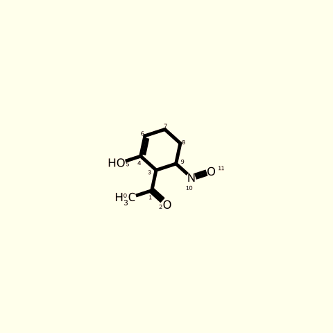 CC(=O)C1C(O)=CCCC1N=O